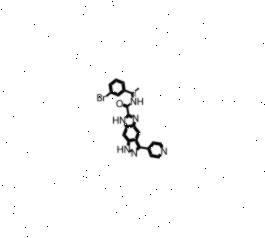 C[C@@H](NC(=O)c1nc2cc3c(-c4ccncc4)n[nH]c3cc2[nH]1)c1cccc(Br)c1